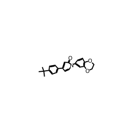 CC(C)(C)c1ccc(-c2ccn(-c3ccc4c(c3)OCCO4)c(=O)c2)cc1